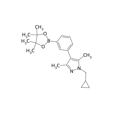 Cc1nn(CC2CC2)c(C)c1-c1cccc(B2OC(C)(C)C(C)(C)O2)c1